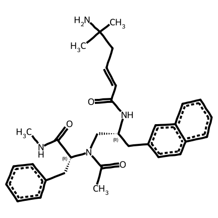 CNC(=O)[C@@H](Cc1ccccc1)N(C[C@@H](Cc1ccc2ccccc2c1)NC(=O)C=CCC(C)(C)N)C(C)=O